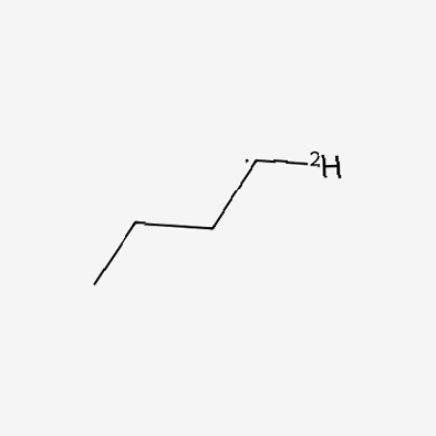 [2H][CH]CCC